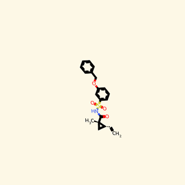 C=C[C@@H]1C[C@]1(C)C(=O)NS(=O)(=O)c1cccc(OCc2ccccc2)c1